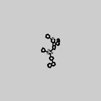 c1ccc(-c2cc3c(cn2)C2(c4ccc(-c5nc(-c6ccccc6)nc(-c6ccc(-c7cccc8ccccc78)cc6)n5)cc4-3)C3CC4CC(C3)C2C4)cc1